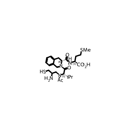 CSCC[C@H](NC(=O)[C@H]1Cc2ccccc2CN1C(=O)[C@H](C(C)C)N(CC(N)CS)C(C)=O)C(=O)O